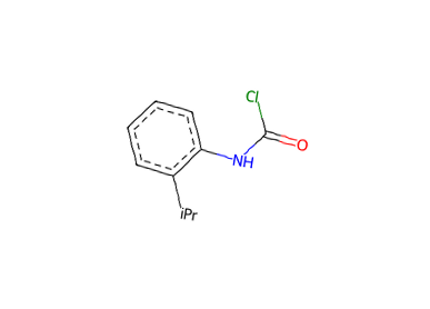 CC(C)c1ccccc1NC(=O)Cl